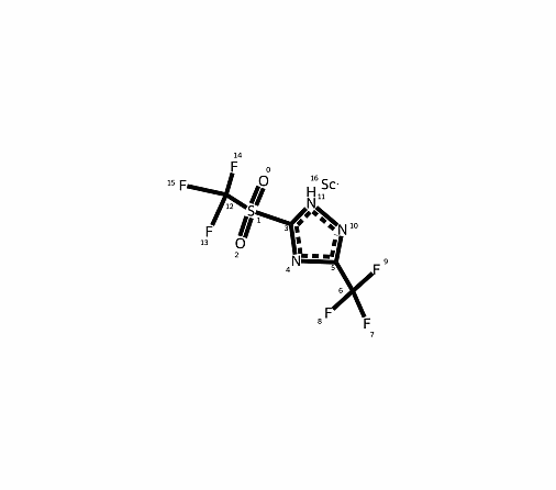 O=S(=O)(c1nc(C(F)(F)F)n[nH]1)C(F)(F)F.[Sc]